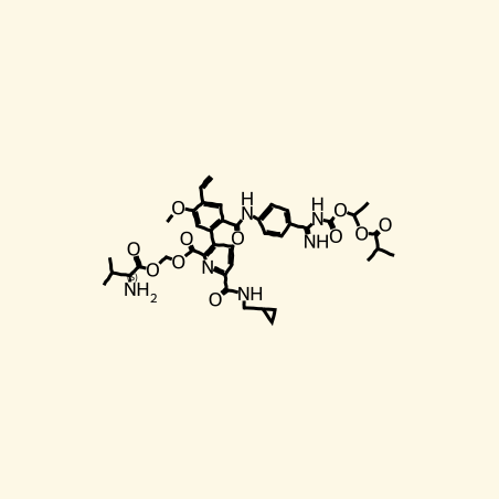 C=Cc1cc(C(=O)Nc2ccc(C(=N)NC(=O)OC(C)OC(=O)C(C)C)cc2)c(-c2ccc(C(=O)NCC3CC3)nc2C(=O)OCOC(=O)[C@@H](N)C(C)C)cc1OC